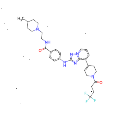 CC1CCN(CCNC(=O)c2ccc(Nc3nc4c(C5=CCN(C(=O)CCC(F)(F)F)CC5)cccn4n3)cc2)CC1